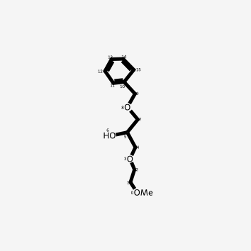 COCCOCC(O)COCc1ccccc1